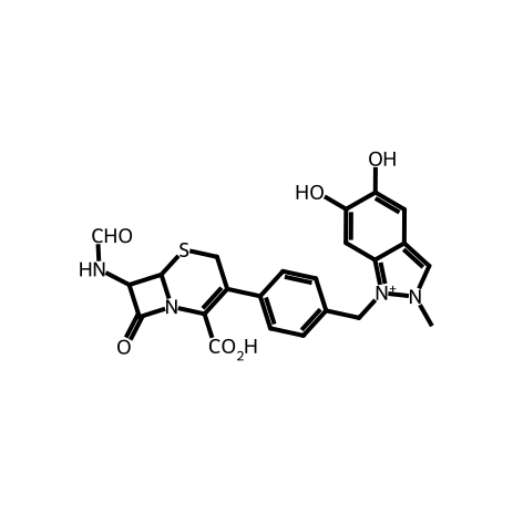 Cn1cc2cc(O)c(O)cc2[n+]1Cc1ccc(C2=C(C(=O)O)N3C(=O)C(NC=O)C3SC2)cc1